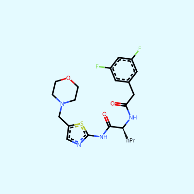 CCC[C@H](NC(=O)Cc1cc(F)cc(F)c1)C(=O)Nc1ncc(CN2CCOCC2)s1